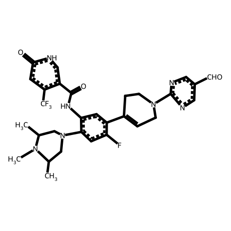 CC1CN(c2cc(F)c(C3=CCN(c4ncc(C=O)cn4)CC3)cc2NC(=O)c2c[nH]c(=O)cc2C(F)(F)F)CC(C)N1C